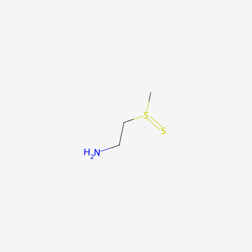 CS(=S)CCN